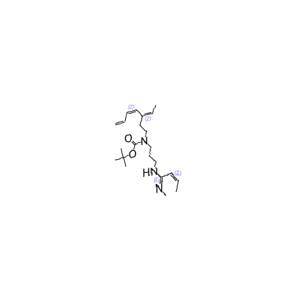 C=C/C=C\C(=C/C)CCN(CCCNC(/C=C\C)=N/C)C(=O)OC(C)(C)C